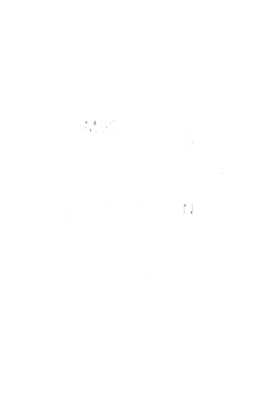 CSC1CN=CS1.c1ccccc1